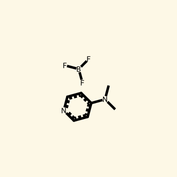 CN(C)c1ccncc1.FB(F)F